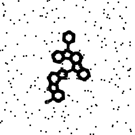 Clc1cccc2c1oc1ccc3sc(-n4c5ccccc5c5ccc6c(c7ccccc7n6-c6ccccc6)c54)nc3c12